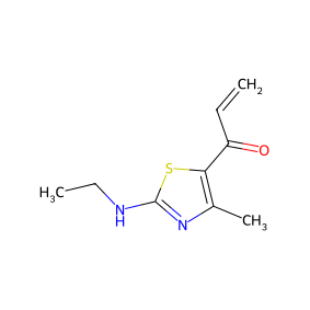 C=CC(=O)c1sc(NCC)nc1C